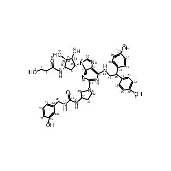 O=C(CCO)N[C@H]1C[C@@H](n2cnc3c(NCC(c4ccc(O)cc4)c4ccc(O)cc4)nc(N4CCC(NC(=O)NCc5cccc(O)c5)C4)nc32)[C@H](O)[C@@H]1O